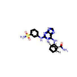 NC(=O)[C@@H]1[C@H](Nc2[nH]c(Nc3cccc(S(N)(=O)=O)c3)nc3ncnc2-3)[C@H]2C=C[C@@H]1C2